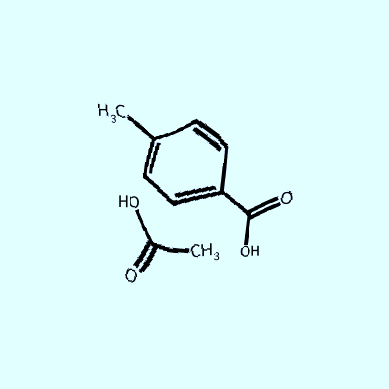 CC(=O)O.Cc1ccc(C(=O)O)cc1